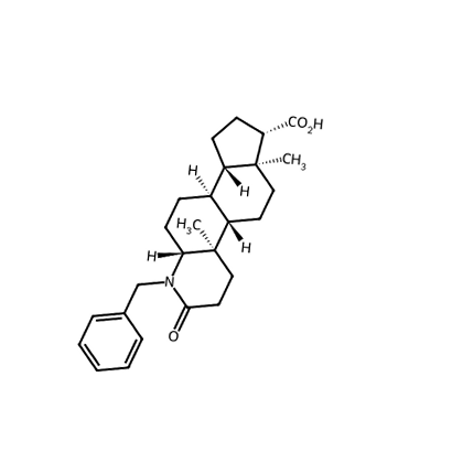 C[C@]12CC[C@H]3[C@@H](CC[C@H]4N(Cc5ccccc5)C(=O)CC[C@]34C)[C@@H]1CC[C@@H]2C(=O)O